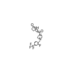 O=C1CCC2(CN(C(=O)N3CCN(Cc4ccc(C(F)(F)F)cc4F)CC3)C2)N1